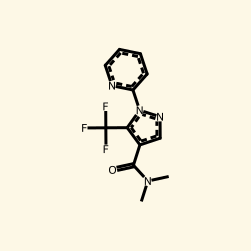 CN(C)C(=O)c1cnn(-c2ccccn2)c1C(F)(F)F